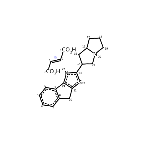 O=C(O)/C=C/C(=O)O.c1ccc2c(c1)Cc1sc(C3CC4CCCN4C3)nc1-2